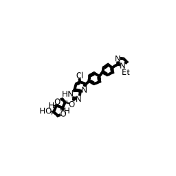 CCN1CCN=C1c1ccc(-c2ccc(-c3nc4nc(O[C@@H]5CO[C@H]6[C@@H]5OC[C@H]6O)[nH]c4cc3Cl)cc2)cc1